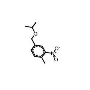 Cc1ccc(COC(C)C)cc1[N+](=O)[O-]